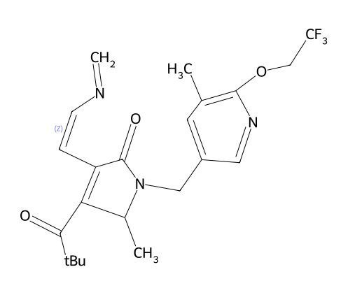 C=N/C=C\C1=C(C(=O)C(C)(C)C)C(C)N(Cc2cnc(OCC(F)(F)F)c(C)c2)C1=O